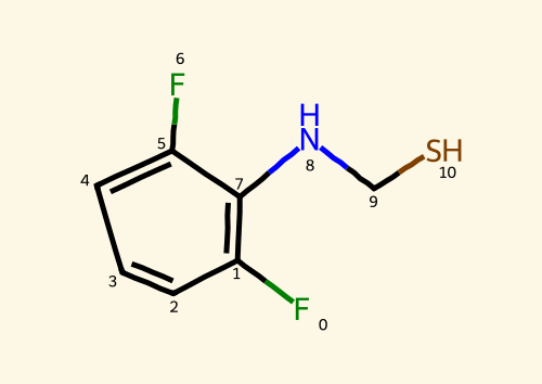 Fc1cccc(F)c1NCS